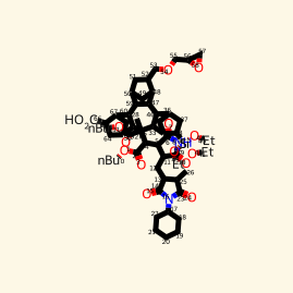 CCCCOC(=O)C(C1C(=O)NC(=O)C1CC1C(=O)N(C2CCCCC2)C(=O)C1C)C(C)(C(=O)OCCCC)C1C2CC(CC2[Si](OCC)(OCC)OCC)C1C1C2CC(CC2COCC2CO2)C1C1C(C)C2CC(C(=O)O)C1C2